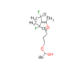 CCC(C)C(O)OCCCCOC(C)=C(C(C)(F)C(F)(F)F)C(C)(F)C(F)(F)F